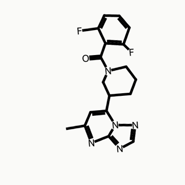 Cc1cc(C2CCCN(C(=O)c3c(F)cccc3F)C2)n2ncnc2n1